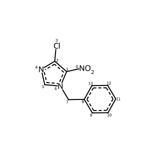 O=[N+]([O-])c1c(Cl)ncn1Cc1ccccc1